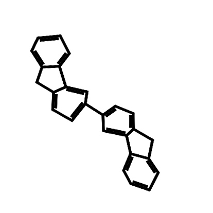 c1ccc2c(c1)Cc1ccc(-c3ccc4c(c3)-c3ccccc3C4)cc1-2